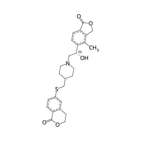 Cc1c([C@H](O)CN2CCC(CSc3ccc4c(c3)CCOC4=O)CC2)ccc2c1COC2=O